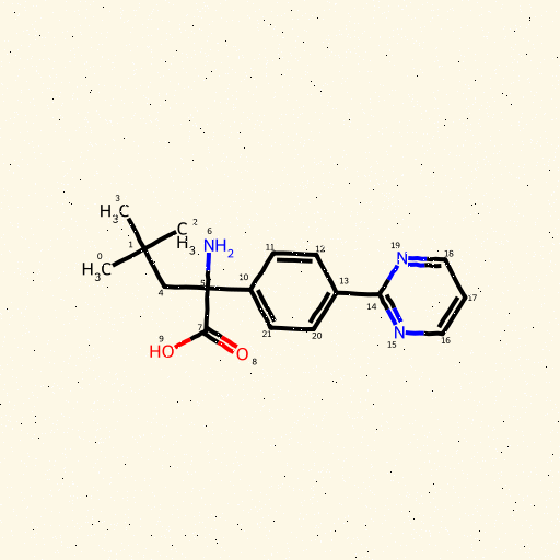 CC(C)(C)CC(N)(C(=O)O)c1ccc(-c2ncccn2)cc1